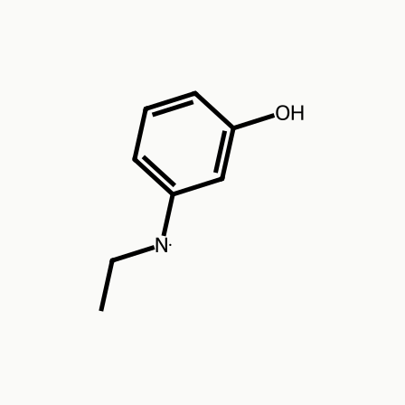 CC[N]c1cccc(O)c1